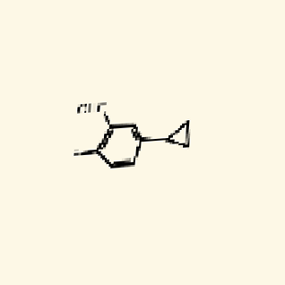 O=Cc1cc(C2CC2)ccc1F